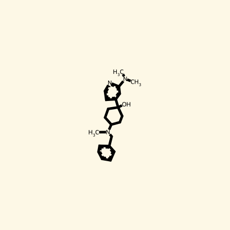 CN(C)c1cc(C2(O)CCC(N(C)Cc3ccccc3)CC2)ccn1